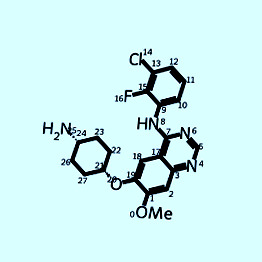 COc1cc2ncnc(Nc3cccc(Cl)c3F)c2cc1O[C@H]1CC[C@@H](N)CC1